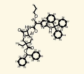 CCCON=C(C(=O)NC1C(=O)N2CC(CI)(C(=O)OC(c3ccccc3)c3ccccc3)CS[C@H]12)c1csc(NC(c2ccccc2)(c2ccccc2)c2ccccc2)n1